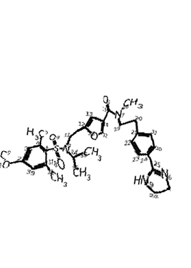 COc1cc(C)c(S(=O)(=O)N(Cc2cc(C(=O)N(C)CCc3ccc(C4=NCCN4)cc3)co2)C(C)C)c(C)c1